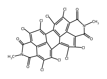 CN1C(=O)c2c(Cl)c(Cl)c3c4c(Cl)c(Cl)c5c6c(c(Cl)c(Cl)c(c7c(Cl)c(Cl)c(c2c37)C1=O)c64)C(=O)N(C)C5=O